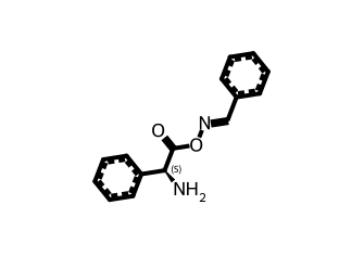 N[C@H](C(=O)ON=Cc1ccccc1)c1ccccc1